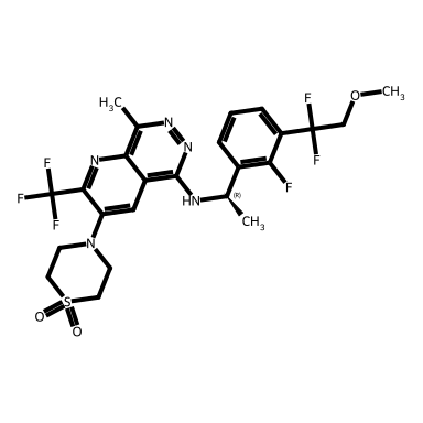 COCC(F)(F)c1cccc([C@@H](C)Nc2nnc(C)c3nc(C(F)(F)F)c(N4CCS(=O)(=O)CC4)cc23)c1F